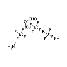 CC(C)(C)O[C]=O.CN.F[B-](F)(F)F.F[B-](F)(F)F.F[B-](F)(F)F.[KH]